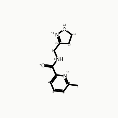 Cc1cccc(C(=O)NCC2=NOCC2)n1